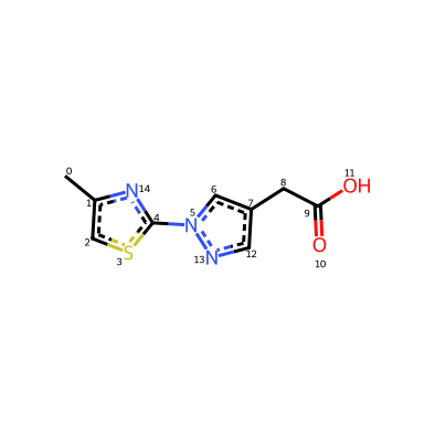 Cc1csc(-n2cc(CC(=O)O)cn2)n1